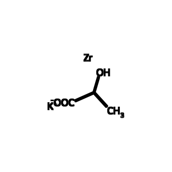 CC(O)C(=O)[O-].[K+].[Zr]